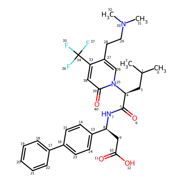 CC(C)C[C@@H](C(=O)N[C@@H](CC(=O)O)c1ccc(-c2ccccc2)cc1)n1cc(CCN(C)C)c(C(F)(F)F)cc1=O